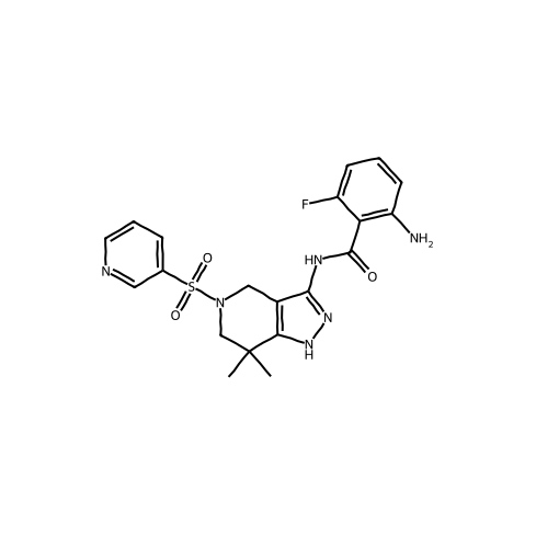 CC1(C)CN(S(=O)(=O)c2cccnc2)Cc2c(NC(=O)c3c(N)cccc3F)n[nH]c21